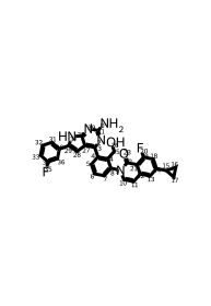 Nc1nc(-c2cccc(-n3ccc4cc(C5CC5)cc(F)c4c3=O)c2CO)c2cc(-c3cccc(F)c3)[nH]c2n1